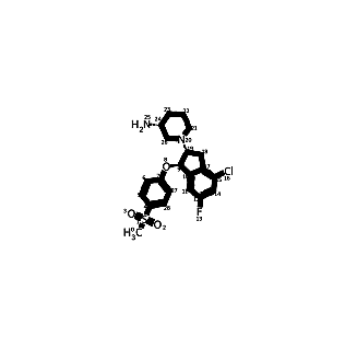 CS(=O)(=O)c1ccc(O[C@@H]2c3cc(F)cc(Cl)c3C[C@H]2N2CCC[C@@H](N)C2)cc1